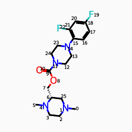 CN1CCN(C)[C@H](COC(=O)N2CCN(c3ccc(F)cc3F)CC2)C1